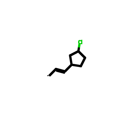 [CH2]C=CC1CCC(Cl)C1